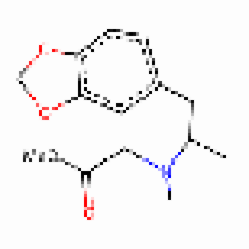 COC(=O)CN(C)C(C)Cc1ccc2c(c1)OCO2